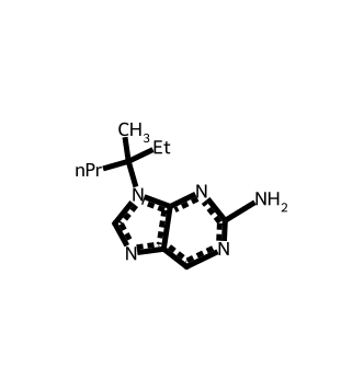 CCCC(C)(CC)n1cnc2cnc(N)nc21